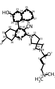 CN(C)C/C=C/C(=O)N1CC2(CCN(c3nc4c(c(-c5cc(O)cc6ccccc56)c3C#N)CC[C@H](I)C4)C2)C1